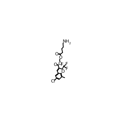 Cc1cc(Cl)cc2c1OC(C(F)(F)F)C(C(=O)OCOC(=O)CCCCN)=C2